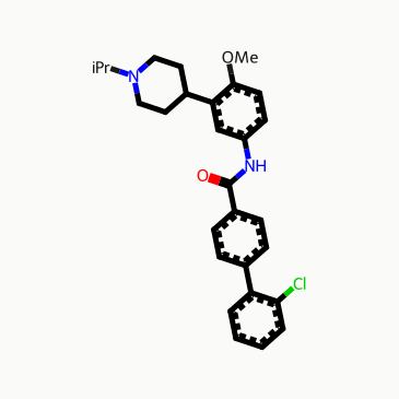 COc1ccc(NC(=O)c2ccc(-c3ccccc3Cl)cc2)cc1C1CCN(C(C)C)CC1